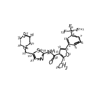 Cc1oc(-c2cccc(C(F)(F)F)c2)cc1C(=O)Nc1ncc(CN2CCSCC2)s1